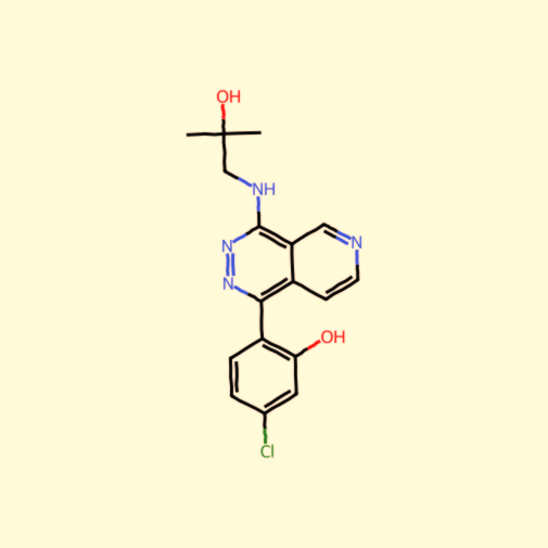 CC(C)(O)CNc1nnc(-c2ccc(Cl)cc2O)c2ccncc12